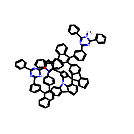 CN1C(c2ccccc2)=NC(c2cccc(-c3c(-c4ccc5c(c4)C4(c6ccccc6-5)c5ccc(-c6cccc(C7N=C(c8ccccc8)N=C(c8cccc(-c9c(-c%10ccc(-n%11c%12ccccc%12c%12ccccc%12%11)cc%10)ccc%10ccccc9%10)c8)N7)c6)cc5-n5c6ccccc6c6cccc4c65)ccc4ccccc34)c2)=NC1c1ccccc1